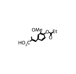 CCC(=O)Oc1ccc(C=C(C)C(=O)O)cc1OC